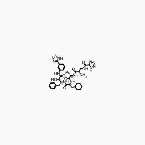 CC(C)[C@H](NC(=O)[C@@H](N)CNC(=O)c1nnn[nH]1)C(=O)N[C@@H](CC1CCCCC1)C(=O)N[C@@H](Cc1ccccc1)[C@@H](O)C(=O)Nc1cccc(-c2nnn[nH]2)c1